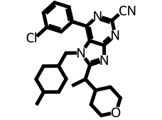 CC1CCC(Cn2c(C(C)C3CCOCC3)nc3nc(C#N)nc(-c4cccc(Cl)c4)c32)CC1